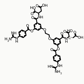 N=C(N)Nc1ccc(C(=O)Oc2cc(OCCOc3cc(OC(=O)c4ccc(NC(=N)N)cc4)cc(C(=O)N[C@@H](CC(=O)O)C(=O)O)c3)cc(C(=O)NC(CC(=O)O)C(=O)O)c2)cc1